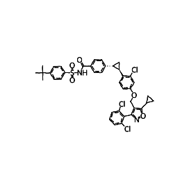 CC(C)(C)c1ccc(S(=O)(=O)NC(=O)c2ccc([C@@H]3C[C@H]3c3ccc(OCc4c(-c5c(Cl)cccc5Cl)noc4C4CC4)cc3Cl)cc2)cc1